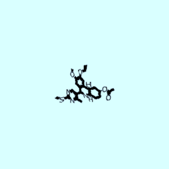 CCOc1cc2c(cc1OC)C(c1cnc(SC)nc1C)=N[C@@H]1CC[C@@H](OC(C)=O)C[C@H]21